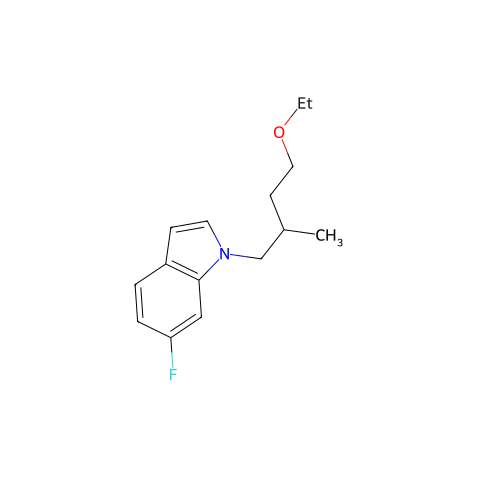 CCOCCC(C)Cn1ccc2ccc(F)cc21